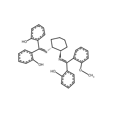 COc1ccccc1/C(=N\[C@@H]1CCCC[C@H]1N=C(c1ccccc1O)c1ccccc1O)c1ccccc1O